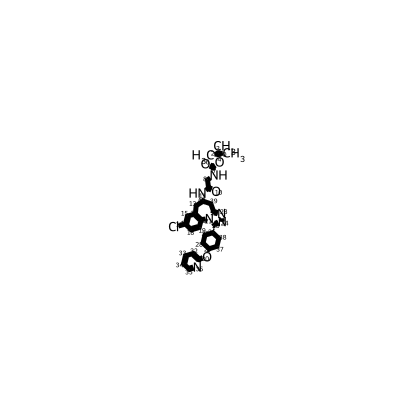 CC(C)(C)OC(=O)NCC(=O)N[C@H]1Cc2cc(Cl)ccc2-n2c(nnc2[C@H]2CC[C@H](Oc3ccccn3)CC2)C1